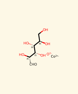 O=C[C@H](O)[C@@H](O)[C@H](O)[C@H](O)CO.[Co+2].[O-2]